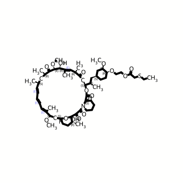 CCSCC(=O)OCCO[C@@H]1CC[C@@H](C[C@@H](C)[C@@H]2CC(=O)[C@H](C)/C=C(\C)[C@@H](O)[C@@H](OC)C(=O)[C@H](C)C[C@H](C)/C=C/C=C/C=C(\C)[C@@H](OC)C[C@@H]3CC[C@@H](C)[C@@](O)(O3)C(=O)C(=O)N3CCCC[C@H]3C(=O)O2)C[C@H]1OC